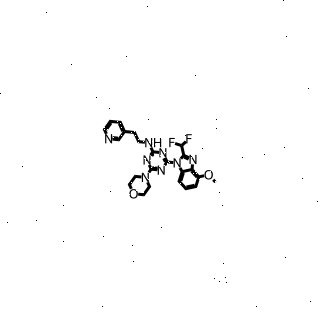 COc1cccc2c1nc(C(F)F)n2-c1nc(NCCc2cccnc2)nc(N2CCOCC2)n1